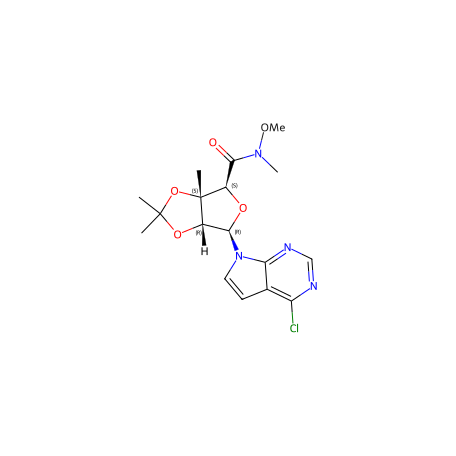 CON(C)C(=O)[C@H]1O[C@@H](n2ccc3c(Cl)ncnc32)[C@@H]2OC(C)(C)O[C@]12C